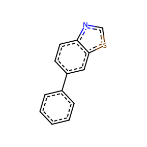 c1ccc(-c2ccc3ncsc3c2)cc1